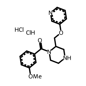 COc1cccc(C(=O)N2CCNCC2COc2cccnc2)c1.Cl.Cl